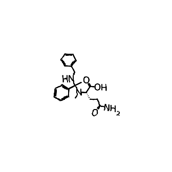 CN([C@@H](CCC(N)=O)C(=O)O)C(C)(NCc1ccccc1)c1ccccc1